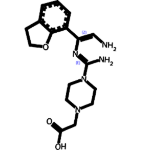 N/C=C(\N=C(/N)N1CCN(CC(=O)O)CC1)c1cccc2c1OCC2